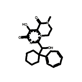 CN1CCn2c(C(O)C3(C4=CC=CC=CC4)CCCCC3)nc(=O)c(O)c2C1=O